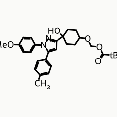 COc1ccc(-n2nc(C3(O)CCC(OCOC(=O)C(C)(C)C)CC3)cc2-c2ccc(C)cc2)cc1